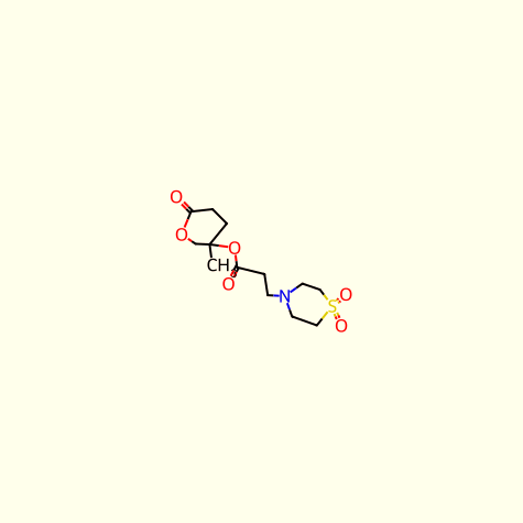 CC1(OC(=O)CCN2CCS(=O)(=O)CC2)CCC(=O)OC1